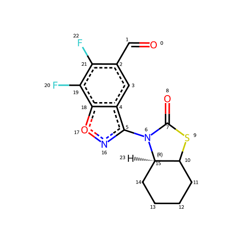 O=Cc1cc2c(N3C(=O)SC4CCCC[C@H]43)noc2c(F)c1F